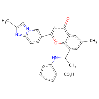 Cc1cc(C(C)Nc2ccccc2C(=O)O)c2oc(-c3ccc4nc(C)cn4c3)cc(=O)c2c1